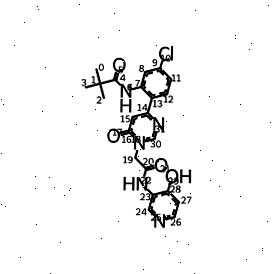 CC(C)(C)C(=O)Nc1cc(Cl)ccc1-c1cc(=O)n(CC(=O)Nc2cnccc2O)cn1